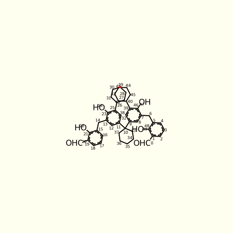 O=Cc1cccc(Cc2cc(C3(c4cc(Cc5cccc(C=O)c5O)c(O)c(C5CCCCC5)c4)CCCCC3)cc(C3CCCCC3)c2O)c1O